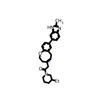 CCC1CCCN(C(=O)C/C2=C/Cc3cc(-c4ccc5nc(C)[nH]c5c4)ccc3OCC2)C1